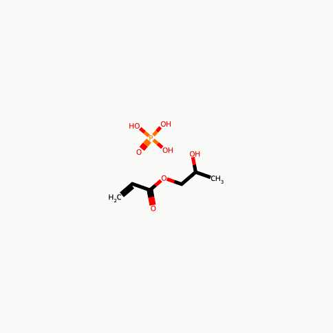 C=CC(=O)OCC(C)O.O=P(O)(O)O